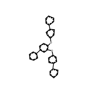 c1ccc(-c2ccc(Oc3ccc(-c4ccccc4)cc3Oc3ccc(-c4ccccc4)cc3)cc2)cc1